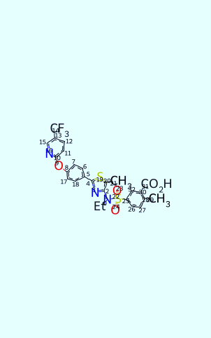 CCN(c1nc(-c2ccc(Oc3ccc(C(F)(F)F)cn3)cc2)sc1C)S(=O)(=O)c1ccc(C)c(C(=O)O)c1